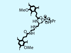 CCCOP(=O)(O)OC[C@@H](CNCCNC(=O)CCc1c(I)cc(I)c(OC)c1I)NC(=O)CCc1c(I)cc(I)c(OC)c1I